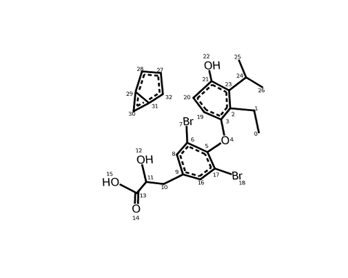 CCc1c(Oc2c(Br)cc(CC(O)C(=O)O)cc2Br)ccc(O)c1C(C)C.c1cc2cc-2c1